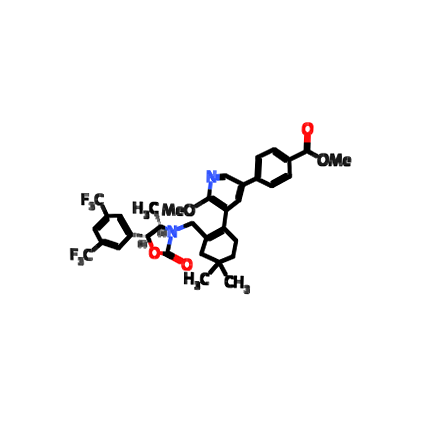 COC(=O)c1ccc(-c2cnc(OC)c(C3=C(CN4C(=O)O[C@H](c5cc(C(F)(F)F)cc(C(F)(F)F)c5)[C@@H]4C)CC(C)(C)CC3)c2)cc1